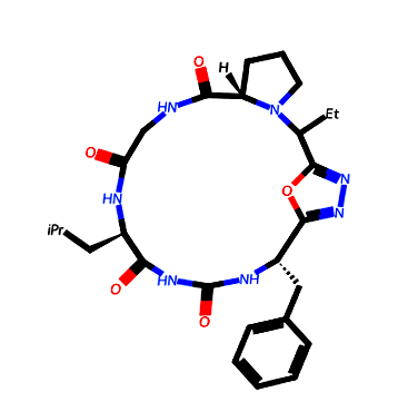 CCC1c2nnc(o2)[C@H](Cc2ccccc2)NC(=O)NC(=O)[C@@H](CC(C)C)NC(=O)CNC(=O)[C@@H]2CCCN12